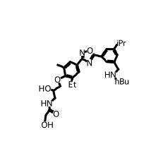 CCCCNCc1cc(-c2nc(-c3cc(C)c(OCC(O)CNC(=O)CO)c(CC)c3)no2)cc(C(C)C)c1